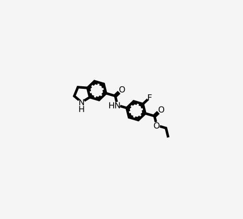 CCOC(=O)c1ccc(NC(=O)c2ccc3c(c2)NCC3)cc1F